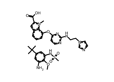 COc1c(N)cc(C(C)(C)C)cc1NS(C)(=O)=O.Cn1c(C(=O)O)cc2cccc(Oc3ccnc(NCCn4ccnc4)n3)c21